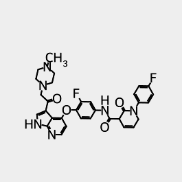 CN1CCN(CC(=O)c2c[nH]c3nccc(Oc4ccc(NC(=O)C5C=CCN(c6ccc(F)cc6)C5=O)cc4F)c23)CC1